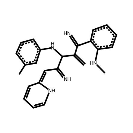 C=C(C(=N)c1ccccc1NC)C(Nc1cccc(C)c1)C(=N)/C=C1/C=CC=CN1